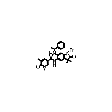 Cc1cc(C(=O)Nc2cc3c(cc2NC(C)c2ccccc2)N(C(C)C)C(=O)C3(C)C)cn(C)c1=O